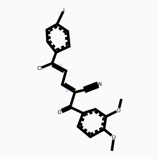 COc1ccc(C(=O)/C(C#N)=C/C=C(\Cl)c2ccc(I)cc2)cc1OC